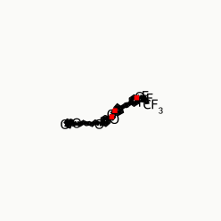 CC1(COCCCCCCOc2ccc(C(=O)Oc3ccc(C#Cc4ccc(OC(F)(F)C(F)C(F)(F)F)cc4)cc3)cc2)COC1